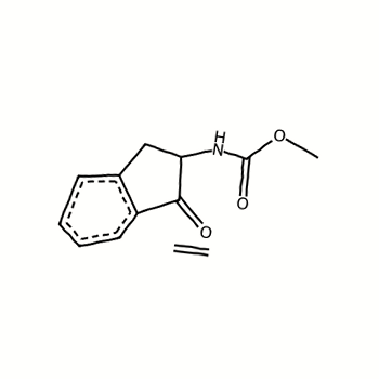 C=C.COC(=O)NC1Cc2ccccc2C1=O